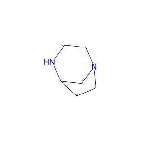 [CH]1CN2CCC(C2)N1